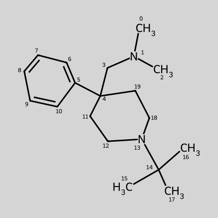 CN(C)CC1(c2ccccc2)CCN(C(C)(C)C)CC1